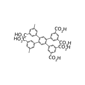 Cc1cc(C(=O)O)cc(-c2cc(-c3cc(C(=O)O)cc(C(=O)O)c3)c(-c3cc(C(=O)O)cc(C(=O)O)c3)cc2-c2cc(C)cc(C(=O)O)c2)c1